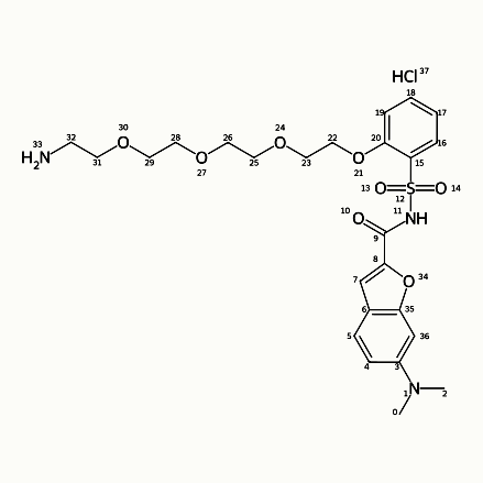 CN(C)c1ccc2cc(C(=O)NS(=O)(=O)c3ccccc3OCCOCCOCCOCCN)oc2c1.Cl